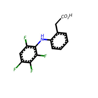 O=C(O)Cc1ccccc1Nc1c(F)cc(F)c(F)c1F